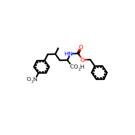 CC(Cc1ccc([N+](=O)[O-])cc1)CC(NC(=O)OCc1ccccc1)C(=O)O